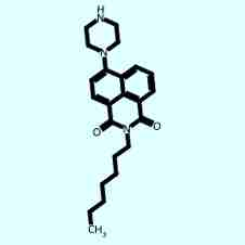 CCCCCCCN1C(=O)c2cccc3c(N4CCNCC4)ccc(c23)C1=O